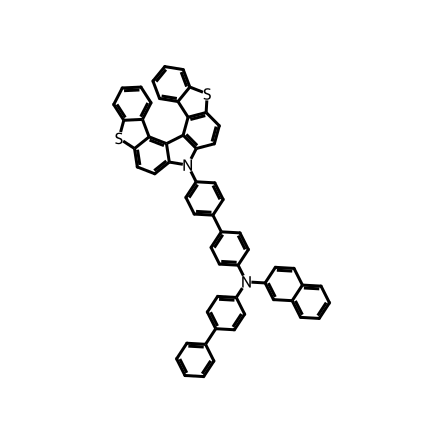 c1ccc(-c2ccc(N(c3ccc(-c4ccc(-n5c6ccc7sc8ccccc8c7c6c6c7c(ccc65)sc5ccccc57)cc4)cc3)c3ccc4ccccc4c3)cc2)cc1